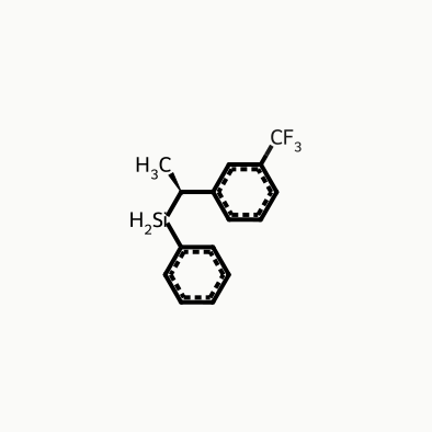 C[C@H]([SiH2]c1ccccc1)c1cccc(C(F)(F)F)c1